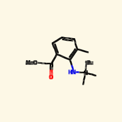 COC(=O)c1cccc(C)c1N[Si](C)(C)C(C)(C)C